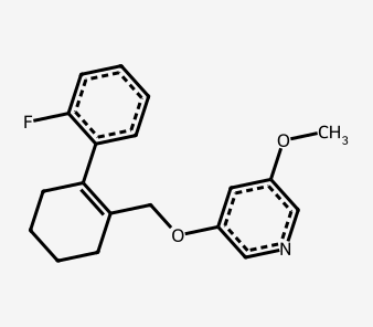 COc1cncc(OCC2=C(c3ccccc3F)CCCC2)c1